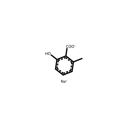 Cc1cccc(O)c1C(=O)[O-].[Na+]